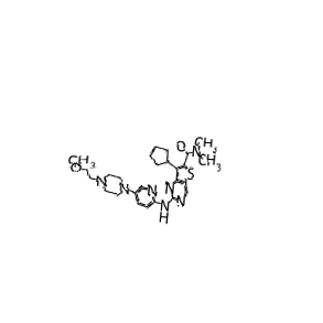 COCCN1CCN(c2ccc(Nc3ncc4sc(C(=O)N(C)C)c(C5CCCC5)c4n3)nc2)CC1